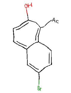 CC(=O)c1c(O)ccc2cc(Br)ccc12